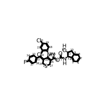 O=C(N[C@@H]1c2ccccc2C[C@@H]1O)Oc1nn(-c2ccc(Cl)cc2Cl)c2c1CSC/C2=C\c1ccc(F)cc1